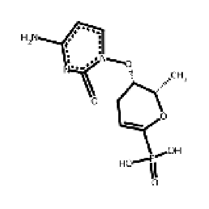 C[C@@H]1OC(P(=O)(O)O)=CC[C@@H]1On1ccc(N)nc1=O